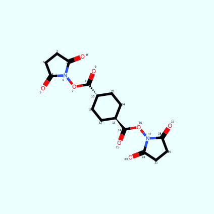 O=C1CCC(=O)N1OC(=O)[C@H]1CC[C@H](C(=O)ON2C(=O)CCC2=O)CC1